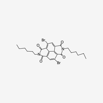 CCCCCCN1C(=O)c2cc(Br)c3c4c(cc(Br)c(c24)C1=O)C(=O)N(CCCCCC)C3=O